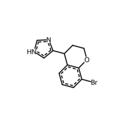 Brc1cccc2c1OCCC2c1c[nH]cn1